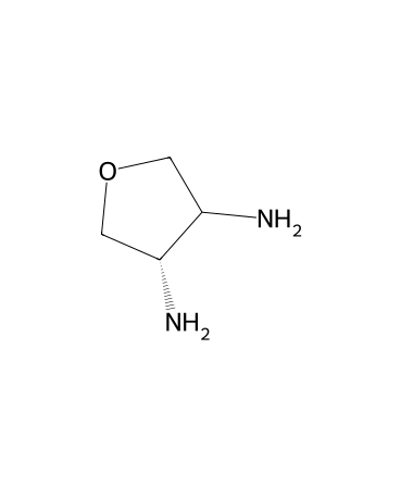 NC1COC[C@H]1N